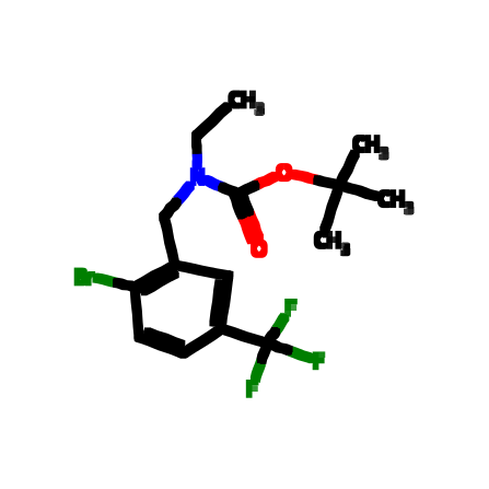 CCN(Cc1cc(C(F)(F)F)ccc1Br)C(=O)OC(C)(C)C